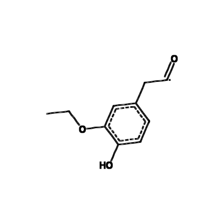 CCOc1cc(C[C]=O)ccc1O